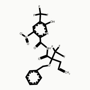 C=CCC(OCc1ccccc1)(C(=O)NC(=O)c1nc(O)c(C(F)(F)F)cc1[N+](=O)[O-])C(F)(F)F